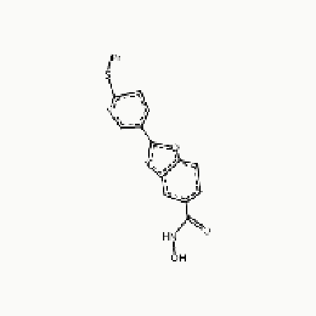 CC(C)Sc1ccc(-c2nc3cc(C(=O)NO)ccc3o2)cn1